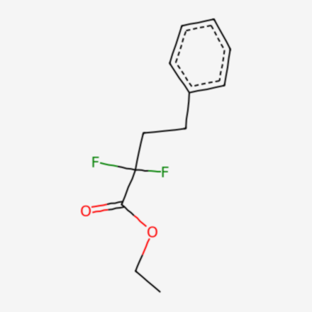 CCOC(=O)C(F)(F)CCc1ccccc1